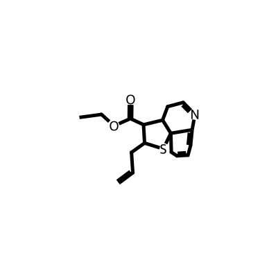 C=CCC1SC23CC=CC=C2N=CCC3C1C(=O)OCC